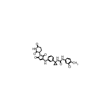 Cc1ccc(NC(=O)NC2(c3cccc(NC4=CC(=O)N(C5CCC(=O)NC5=O)C4=O)c3)CC2)cc1Cl